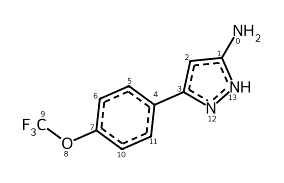 Nc1cc(-c2ccc(OC(F)(F)F)cc2)n[nH]1